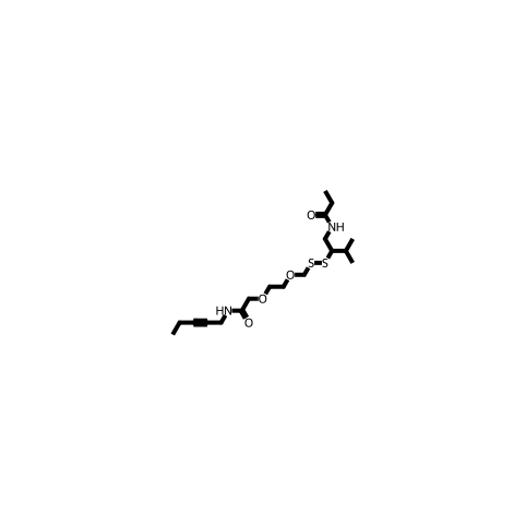 CCC#CCNC(=O)COCCOCSSC(CNC(=O)CC)C(C)C